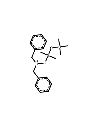 C[Si](C)(C)O[Si](C)(C)O[SiH](Cc1ccccc1)Cc1ccccc1